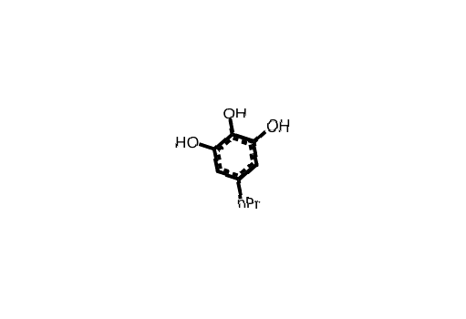 CCCc1cc(O)c(O)c(O)c1